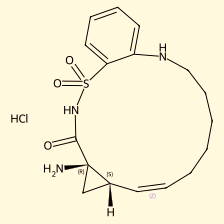 Cl.N[C@]12C[C@H]1/C=C\CCCCCNc1ccccc1S(=O)(=O)NC2=O